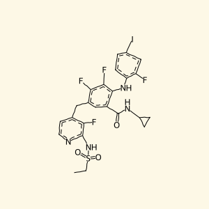 CCS(=O)(=O)Nc1nccc(Cc2cc(C(=O)NC3CC3)c(Nc3ccc(I)cc3F)c(F)c2F)c1F